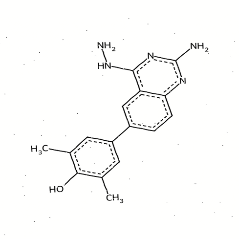 Cc1cc(-c2ccc3nc(N)nc(NN)c3c2)cc(C)c1O